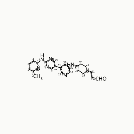 Cc1cccc(Nc2ncc(-c3cncc(NC4CCN(C=CC=O)CC4)c3)cn2)n1